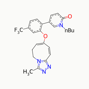 CCCCn1cc(-c2ccc(C(F)(F)F)cc2OC2=C/CCn3c(C)nnc3/C=C\2)ccc1=O